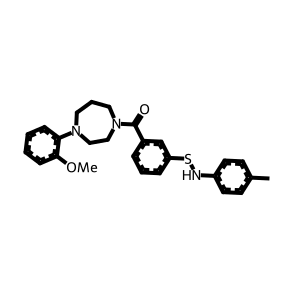 COc1ccccc1N1CCCN(C(=O)c2cccc(SNc3ccc(C)cc3)c2)CC1